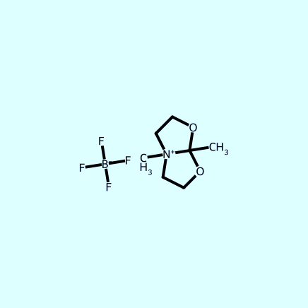 CC12OCC[N+]1(C)CCO2.F[B-](F)(F)F